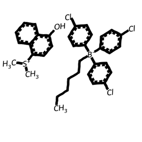 CCCCCC[B-](c1ccc(Cl)cc1)(c1ccc(Cl)cc1)c1ccc(Cl)cc1.C[S+](C)c1ccc(O)c2ccccc12